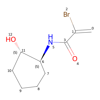 C=C(Br)C(=O)N[C@H]1CCCC[C@@H]1O